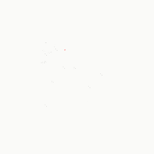 N#Cc1cccc(C(F)(F)F)c1-c1cc(-n2c3cc(-n4c5ccccc5c5ccccc54)ccc3c3ccc(-n4c5ccccc5c5ccccc54)cc32)c(C#N)c(-n2c3cc(-n4c5ccccc5c5ccccc54)ccc3c3ccc(-n4c5ccccc5c5ccccc54)cc32)c1